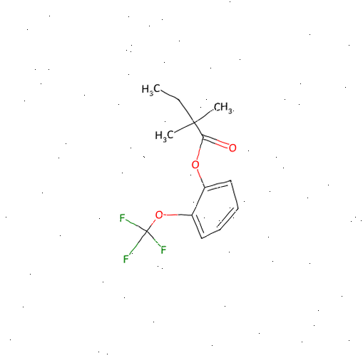 CCC(C)(C)C(=O)Oc1ccccc1OC(F)(F)F